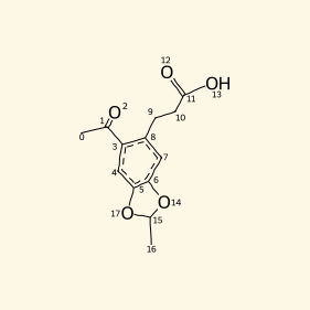 CC(=O)c1cc2c(cc1CCC(=O)O)OC(C)O2